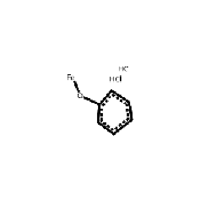 Cl.Cl.[Fe][O]c1ccccc1